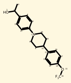 CC(O)c1ccc(N2CCC(c3ccc(OC(F)(F)F)cc3)CC2)cc1